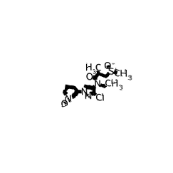 CCN(C(=O)C(C)C[S+](C)[O-])c1cn(-c2ccc[n+]([O-])c2)nc1Cl